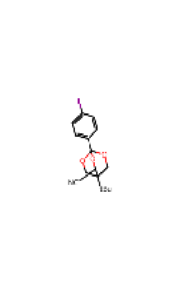 CC(C)(C)C12COC(c3ccc(I)cc3)(OC1)OC2C#N